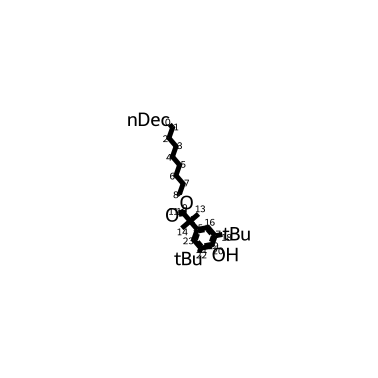 CCCCCCCCCCCCCCCCCCOC(=O)C(C)(C)c1cc(C(C)(C)C)c(O)c(C(C)(C)C)c1